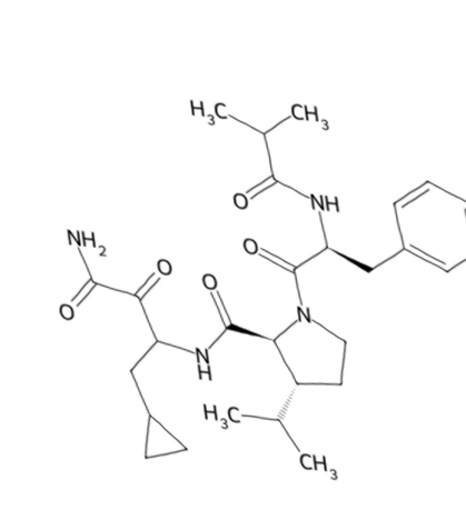 CC(C)C(=O)N[C@@H](Cc1ccccc1)C(=O)N1CC[C@H](C(C)C)[C@H]1C(=O)NC(CC1CC1)C(=O)C(N)=O